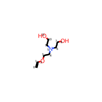 C=COCCN(CCO)CCO